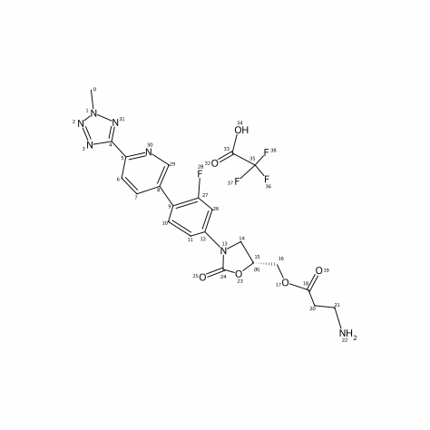 Cn1nnc(-c2ccc(-c3ccc(N4C[C@H](COC(=O)CCN)OC4=O)cc3F)cn2)n1.O=C(O)C(F)(F)F